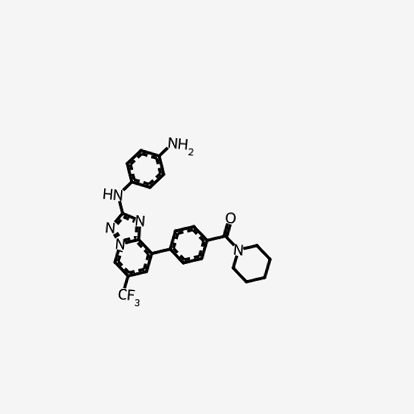 Nc1ccc(Nc2nc3c(-c4ccc(C(=O)N5CCCCC5)cc4)cc(C(F)(F)F)cn3n2)cc1